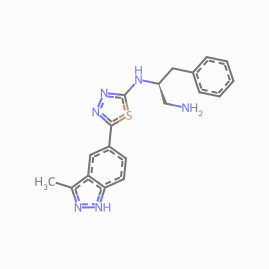 Cc1n[nH]c2ccc(-c3nnc(N[C@H](CN)Cc4ccccc4)s3)cc12